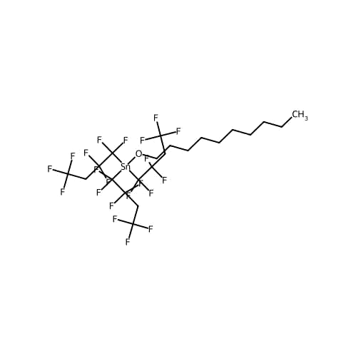 CCCCCCCCCC[O][Sn]([C](F)(F)C(F)(F)CC(F)(F)F)([C](F)(F)C(F)(F)CC(F)(F)F)[C](F)(F)C(F)(F)CC(F)(F)F